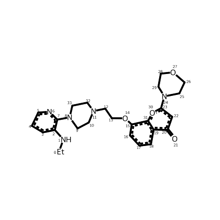 CCNc1cccnc1N1CCN(CCOc2cccc3c(=O)cc(N4CCOCC4)oc23)CC1